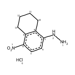 Cl.NNc1ccc([N+](=O)[O-])c2c1CCCC2